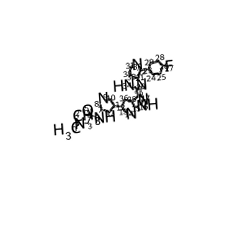 CN(C)CC(=O)Nc1cncc(-c2cnc3[nH]nc(-c4nc5c(-c6ccc(F)cc6)nccc5[nH]4)c3c2)c1